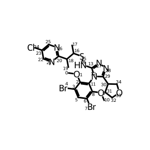 COc1c(Br)cc(Br)c(OC)c1-n1c(NSC(C)C(C)c2ncc(Cl)cn2)nnc1C1CCOC1